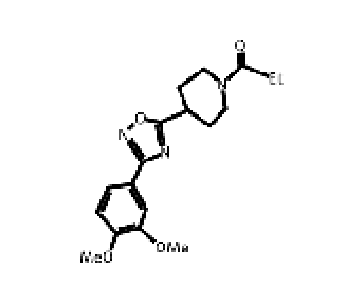 CCC(=O)N1CCC(c2nc(-c3ccc(OC)c(OC)c3)no2)CC1